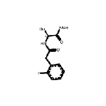 CCC(C)[C@H](NC(=O)Cc1ccccc1F)C(=O)NC